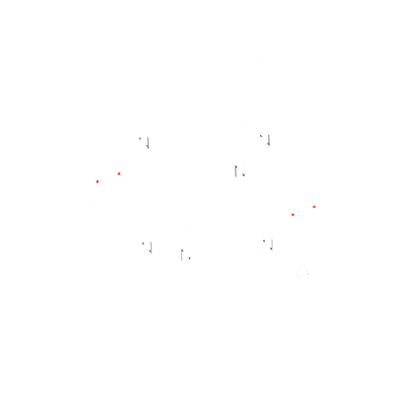 c1ccc(-c2cc(-c3cc(N4c5ccccc5Cc5ccccc54)ccc3-c3ccc(N4c5ccccc5Oc5ccccc54)cc3-c3cc(-c4ccccc4)nc(-c4ccccc4)n3)nc(-c3ccccc3)n2)cc1